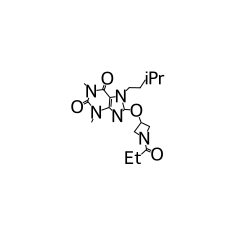 CCC(=O)N1CC(Oc2nc3c(c(=O)n(C)c(=O)n3C)n2CCC(C)C)C1